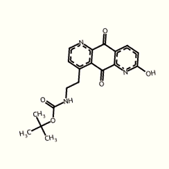 CC(C)(C)OC(=O)NCCc1ccnc2c1C(=O)c1nc(O)ccc1C2=O